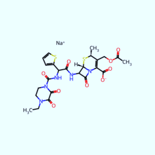 CCN1CCN(C(=O)NC(C(=O)NC2C(=O)N3C(C(=O)[O-])=C(COC(C)=O)[C@H](C)S[C@@H]23)c2cccs2)C(=O)C1=O.[Na+]